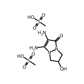 CS(=O)(=O)O.CS(=O)(=O)O.Nc1c(N)n2n(c1=O)CC(O)C2